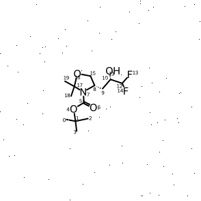 CC(C)(C)OC(=O)N1[C@@H](C[C@H](O)C(F)F)COC1(C)C